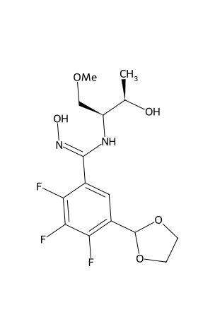 COC[C@H](N/C(=N\O)c1cc(C2OCCO2)c(F)c(F)c1F)[C@@H](C)O